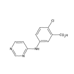 O=C(O)c1cc(Nc2ccncn2)ccc1Cl